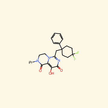 CC(C)N1CCn2c(CC3(c4ccccc4)CCC(F)(F)CC3)nc(=O)c(O)c2C1=O